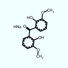 COc1cccc(C(=O)c2cccc(OC)c2O)c1O.[NaH]